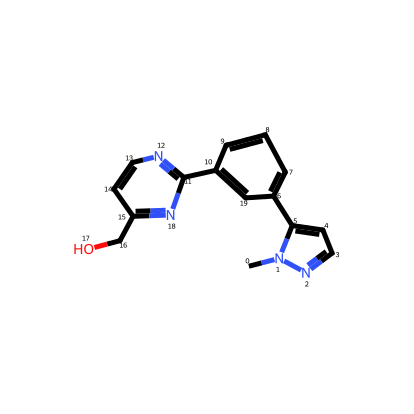 Cn1nccc1-c1cccc(-c2nccc(CO)n2)c1